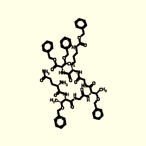 C[C@@H](OCc1ccccc1)[C@H](NC(=O)CNC(=O)[C@@H](NC(=O)[C@@H](N)CCC(N)=O)[C@@H](C)OCc1ccccc1)C(=O)NCC(=O)N[C@@H](CCCCNC(=O)OCc1ccccc1)C(=O)N[C@H](C(=O)OCc1ccccc1)[C@@H](C)OCc1ccccc1